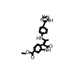 CCOC(=O)c1ccc2c(c1)NC(=O)C2=C(C)Nc1ccc(-c2nnn[nH]2)cc1